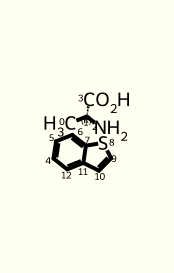 C[C@@H](N)C(=O)O.c1ccc2sccc2c1